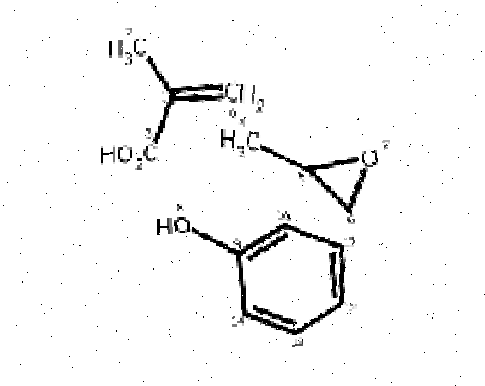 C=C(C)C(=O)O.CC1CO1.Oc1ccccc1